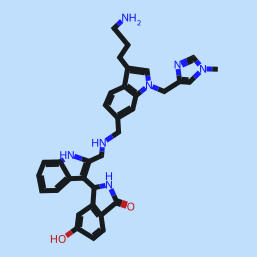 Cn1cnc(Cn2cc(CCCN)c3ccc(CNCc4[nH]c5ccccc5c4C4NC(=O)c5ccc(O)cc54)cc32)c1